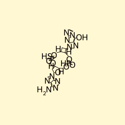 Nc1ncnc2c1ncn2[C@H]1C[C@@H]2O[P@](=O)(S)OC[C@H]3C[C@@H](n4cnc5c(O)n6ccnc6nc54)[C@@H]3CO[PH](=O)OC[C@H]2O1